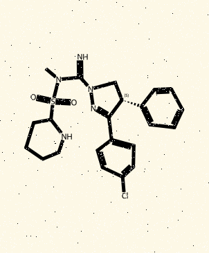 CN(C(=N)N1C[C@H](c2ccccc2)C(c2ccc(Cl)cc2)=N1)S(=O)(=O)C1CCCCN1